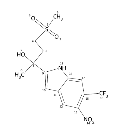 CC(O)(CCS(C)(=O)=O)c1cc2cc([N+](=O)[O-])c(C(F)(F)F)cc2[nH]1